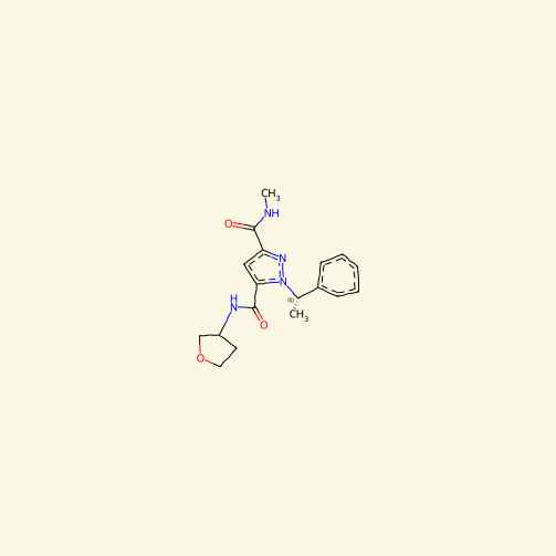 CNC(=O)c1cc(C(=O)NC2CCOC2)n([C@@H](C)c2ccccc2)n1